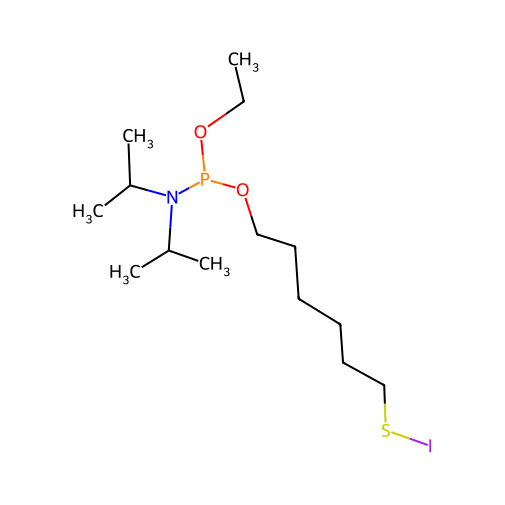 CCOP(OCCCCCCSI)N(C(C)C)C(C)C